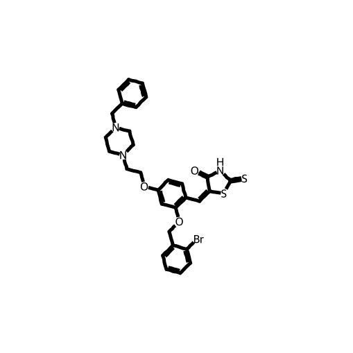 O=C1NC(=S)SC1=Cc1ccc(OCCN2CCN(Cc3ccccc3)CC2)cc1OCc1ccccc1Br